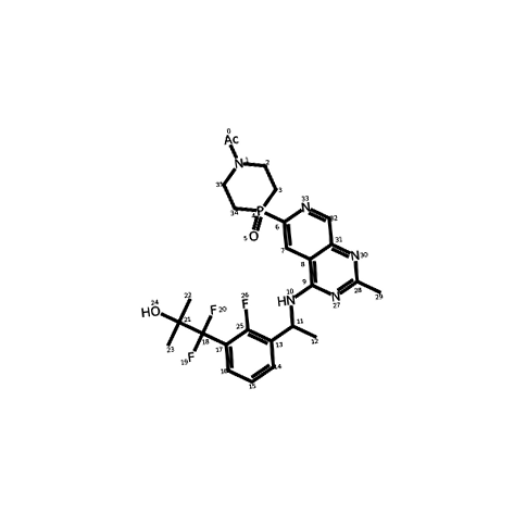 CC(=O)N1CCP(=O)(c2cc3c(NC(C)c4cccc(C(F)(F)C(C)(C)O)c4F)nc(C)nc3cn2)CC1